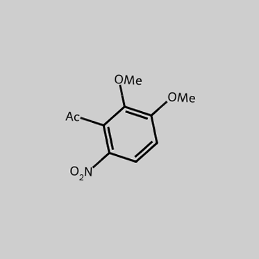 COc1ccc([N+](=O)[O-])c(C(C)=O)c1OC